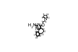 Nc1nc(OCCN2CCCC2)c2c(n1)-c1ccccc1CCC2